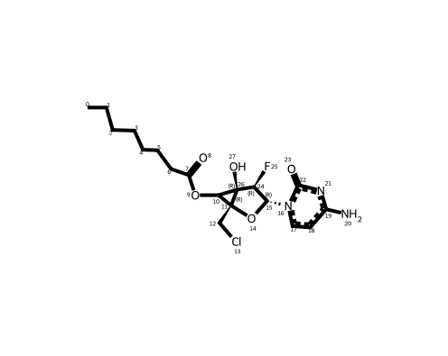 CCCCCCCC(=O)OC1[C@@]2(CCl)O[C@@H](n3ccc(N)nc3=O)[C@H](F)[C@@]12O